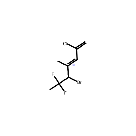 C=C(Cl)/C=C(\C)C(Br)C(C)(F)F